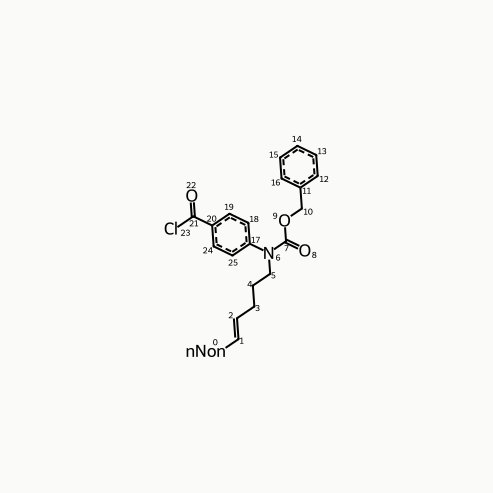 CCCCCCCCCC=CCCCN(C(=O)OCc1ccccc1)c1ccc(C(=O)Cl)cc1